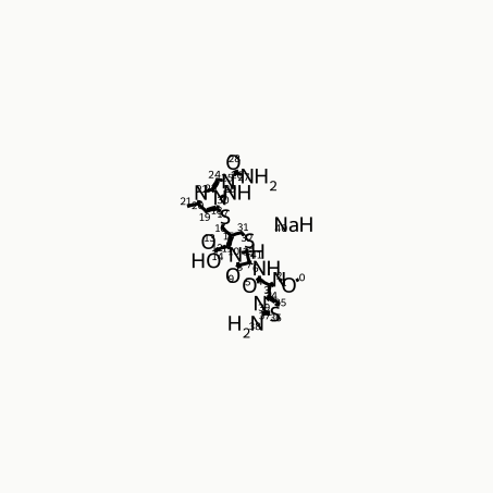 CON=C(C(=O)N[C@@H]1C(=O)N2C(C(=O)O)=C(CSC3=CC(C)=NC4=CN(C(N)=O)NN43)CS[C@H]12)c1csc(N)n1.[NaH]